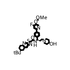 COCOc1cnc(-c2ccc([C@@H](CCN3CCC(O)CC3)NC(=O)c3nc4cc5c(nc4s3)CC[C@H](C(C)(C)C)C5)cc2)cc1F